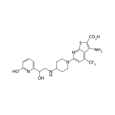 Nc1c(C(=O)O)sc2nc(N3CCC(NCC(O)c4cccc(O)n4)CC3)cc(C(F)(F)F)c12